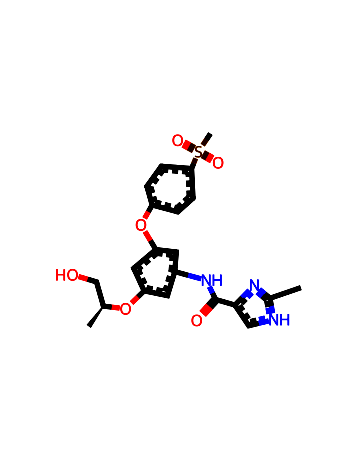 Cc1nc(C(=O)Nc2cc(Oc3ccc(S(C)(=O)=O)cc3)cc(O[C@@H](C)CO)c2)c[nH]1